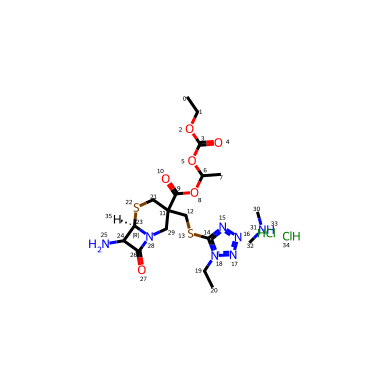 CCOC(=O)OC(C)OC(=O)C1(CSc2nnnn2CC)CS[C@@H]2C(N)C(=O)N2C1.CNC.Cl.Cl